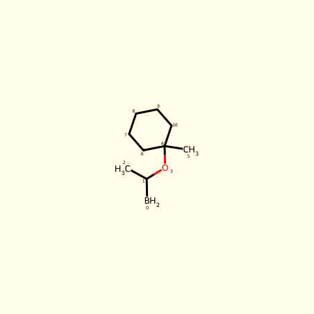 BC(C)OC1(C)CCCCC1